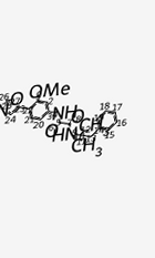 COc1cc(NC(=O)C(=O)NC(C)(C)Cc2ccccc2)ccc1-c1cnco1